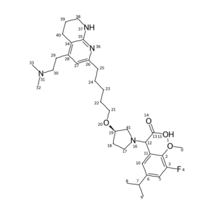 COc1c(F)cc(C(C)C)cc1C(C(=O)O)N1CC[C@@H](OCCCCCc2cc(CCN(C)C)c3c(n2)NCCC3)C1